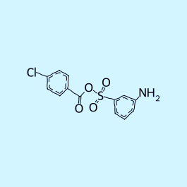 Nc1cccc(S(=O)(=O)OC(=O)c2ccc(Cl)cc2)c1